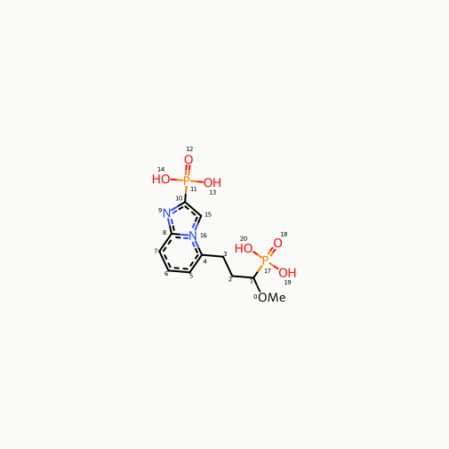 COC(CCc1cccc2nc(P(=O)(O)O)cn12)P(=O)(O)O